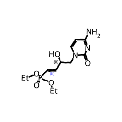 CCOP(=O)(/C=C/[C@@H](O)Cn1ccc(N)nc1=O)OCC